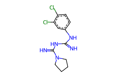 N=C(NC(=N)N1CCCC1)Nc1ccc(Cl)c(Cl)c1